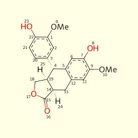 COc1cc([C@@H]2c3cc(O)c(OC)cc3C[C@H]3C(=O)OC[C@@H]23)ccc1O